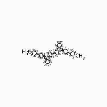 Cc1ccc(-c2ccc(-n3c4ccccc4c4cc(-c5ccc6c(c5)c5ccccc5n6-c5ccc(-c6ccc(C)cc6)cc5)ccc43)cc2)cc1